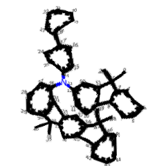 CC1(C)c2ccccc2-c2ccc(N(c3ccc(-c4ccccc4)cc3)c3cccc4c3-c3cc5c(cc3C4(C)C)-c3ccccc3C5(C)C)cc21